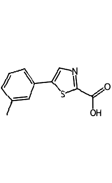 Cc1cccc(-c2cnc(C(=O)O)s2)c1